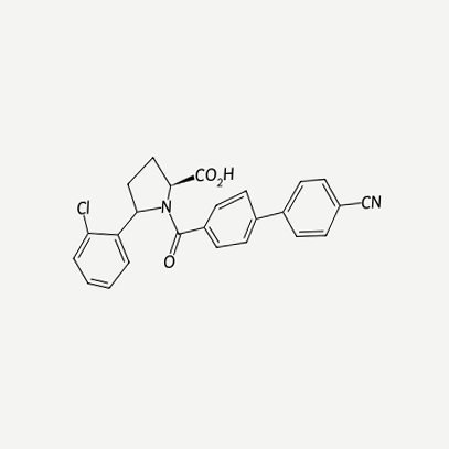 N#Cc1ccc(-c2ccc(C(=O)N3C(c4ccccc4Cl)CC[C@H]3C(=O)O)cc2)cc1